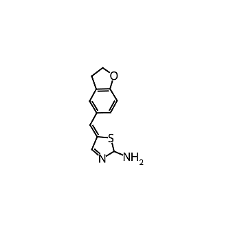 NC1N=C/C(=C/c2ccc3c(c2)CCO3)S1